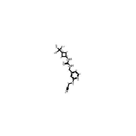 N#CCOc1cc(CNC(=O)NC2CC(C(F)(F)F)C2)ccn1